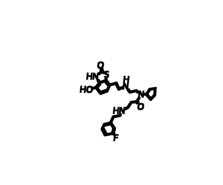 O=C(CCNCCc1cccc(F)c1)N(CCNCCc1ccc(O)c2[nH]c(=O)sc12)C1CCCC1